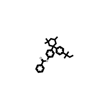 CCC(C)(C)c1ccc(C2(c3ccc(OC(=O)c4ccccc4)cc3)CC(C)CC(C)(C)C2)cc1